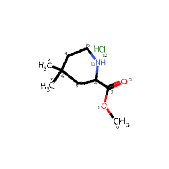 COC(=O)C1CC(C)(C)CCN1.Cl